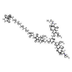 C/C=C1\C[C@H]2C=Nc3cc(OCc4cc(OCCN(C)CC(C)(C)SC5CC(=O)N(CCC(=O)NCCOCCOCCOCCOCCC(=O)O[N+]6(O)C(=O)CCC6=O)C5=O)cc(COc5cc6c(cc5OC)C(=O)N5C/C(=C/C)C[C@H]5C=N6)n4)c(OC)cc3C(=O)N2C1